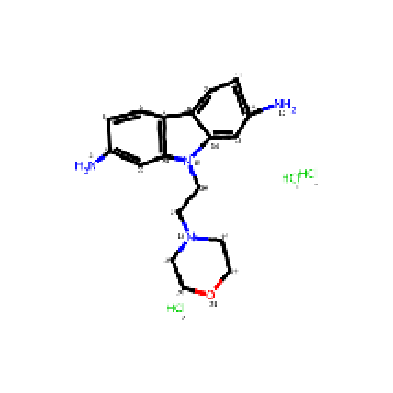 Cl.Cl.Cl.Nc1ccc2c3ccc(N)cc3n(CCN3CCOCC3)c2c1